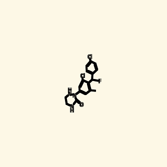 Cc1cc(N2NCCNC2=O)cc(Cl)c1C(F)c1ccc(Cl)cc1